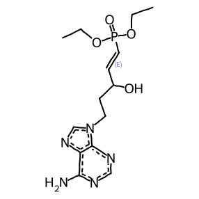 CCOP(=O)(/C=C/C(O)CCn1cnc2c(N)ncnc21)OCC